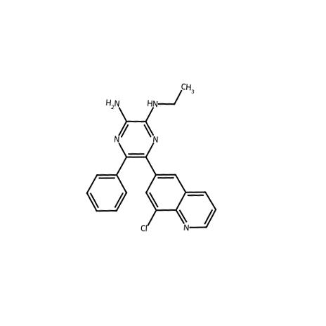 CCNc1nc(-c2cc(Cl)c3ncccc3c2)c(-c2ccccc2)nc1N